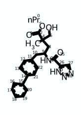 CCCOC(=O)C(C)(CO)CC(Cc1ccc(-c2ccccc2)cc1)NC(=O)c1cnn[nH]1